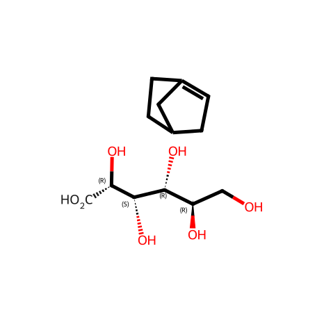 C1=C2CCC(C1)C2.O=C(O)[C@H](O)[C@@H](O)[C@H](O)[C@H](O)CO